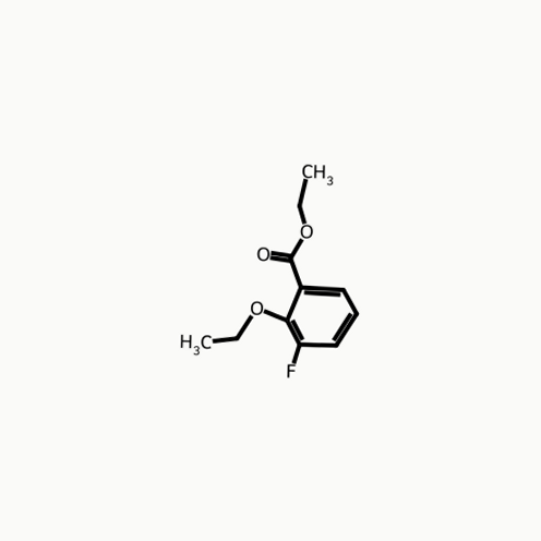 CCOC(=O)c1cccc(F)c1OCC